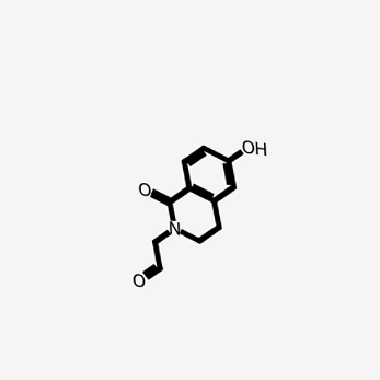 O=CCN1CCc2cc(O)ccc2C1=O